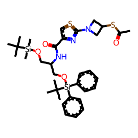 CC(=O)SC1CN(c2nc(C(=O)NC(CO[Si](C)(C)C(C)(C)C)CO[Si](c3ccccc3)(c3ccccc3)C(C)(C)C)cs2)C1